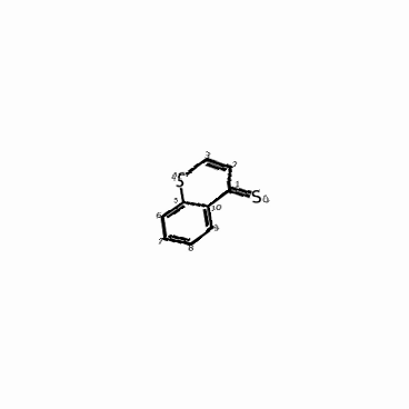 S=c1ccsc2ccccc12